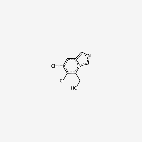 OCc1c(Cl)c(Cl)cc2cncn12